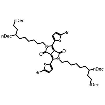 CCCCCCCCCCCCC(CCCCCCCCCC)CCCCCCN1C(=O)C2=C(c3ccc(Br)s3)N(CCCCCCC(CCCCCCCCCC)CCCCCCCCCCCC)C(=O)C2=C1c1ccc(Br)s1